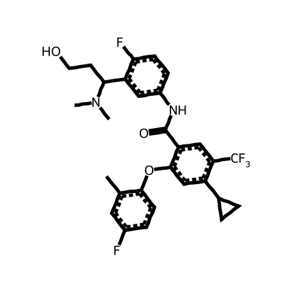 Cc1cc(F)ccc1Oc1cc(C2CC2)c(C(F)(F)F)cc1C(=O)Nc1ccc(F)c(C(CCO)N(C)C)c1